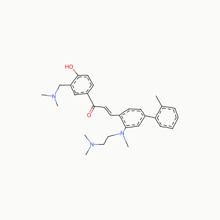 Cc1ccccc1-c1ccc(C=CC(=O)c2ccc(O)c(CN(C)C)c2)c(N(C)CCN(C)C)c1